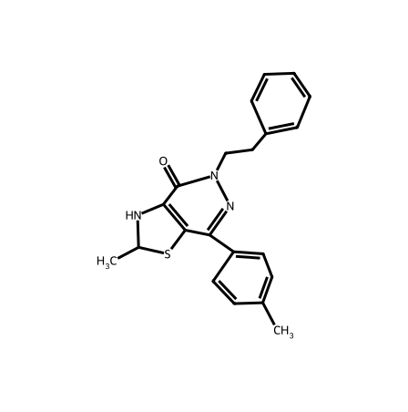 Cc1ccc(-c2nn(CCc3ccccc3)c(=O)c3c2SC(C)N3)cc1